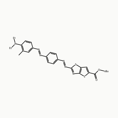 CCCCOC(=O)c1cc2sc(N=Nc3ccc(N=Nc4ccc(N(CC)CC)c(C)c4)cc3)nc2s1